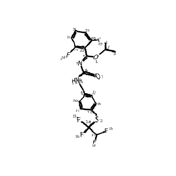 CC(C)OC(=NC(=O)Nc1ccc(SC(F)(F)C(F)F)cc1)c1c(F)cccc1F